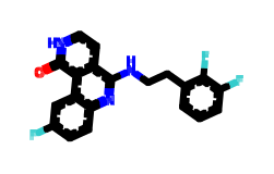 O=c1[nH]ccc2c(NCCc3cccc(F)c3F)nc3ccc(F)cc3c12